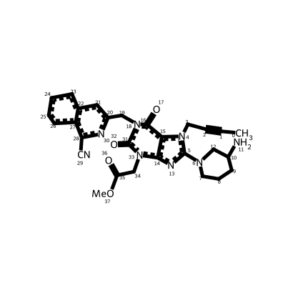 CC#CCn1c(N2CCCC(N)C2)nc2c1c(=O)n(Cc1cc3ccccc3c(C#N)n1)c(=O)n2CC(=O)OC